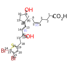 O=C(O)CCC/C=C\C[C@H]1C(O)CC[C@@H]1/C=C/[C@@H](O)CCc1cc(Br)c(Br)s1